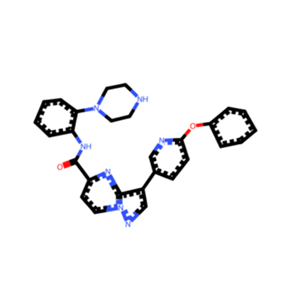 O=C(Nc1ccccc1N1CCNCC1)c1ccn2ncc(-c3ccc(Oc4ccccc4)nc3)c2n1